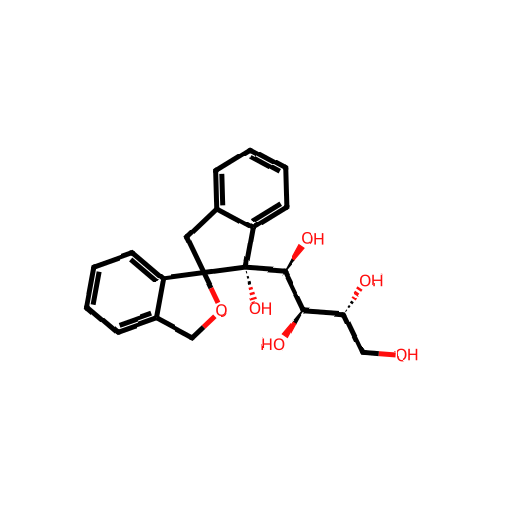 OC[C@@H](O)[C@@H](O)[C@H](O)[C@]1(O)c2ccccc2CC12OCc1ccccc12